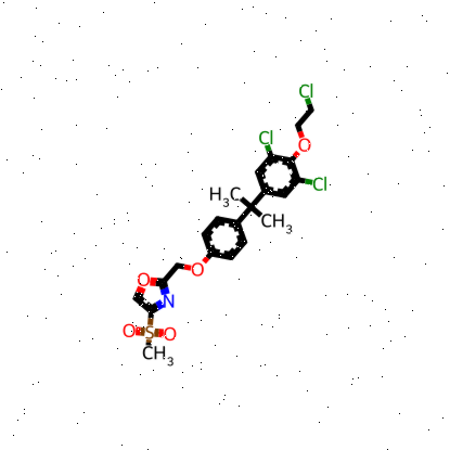 CC(C)(c1ccc(OCc2nc(S(C)(=O)=O)co2)cc1)c1cc(Cl)c(OCCCl)c(Cl)c1